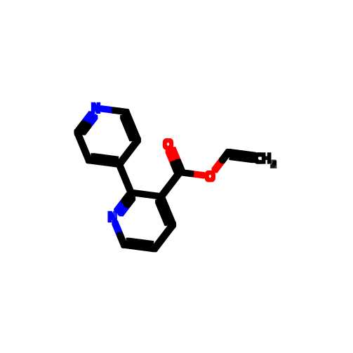 C=COC(=O)c1cccnc1-c1ccncc1